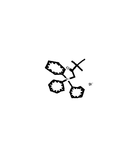 CC(C)(C)C(=O)C[P+](c1ccccc1)(c1ccccc1)c1ccccc1.[Br-]